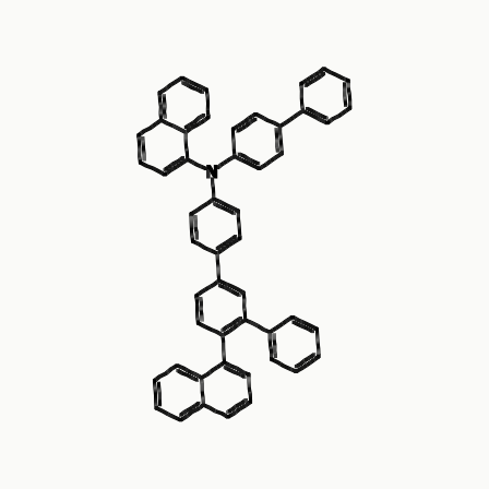 c1ccc(-c2ccc(N(c3ccc(-c4ccc(-c5cccc6ccccc56)c(-c5ccccc5)c4)cc3)c3cccc4ccccc34)cc2)cc1